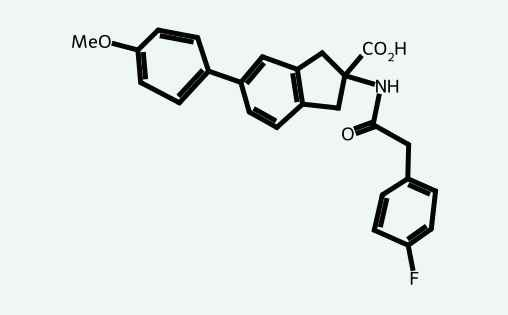 COc1ccc(-c2ccc3c(c2)CC(NC(=O)Cc2ccc(F)cc2)(C(=O)O)C3)cc1